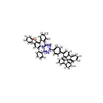 c1ccc(-c2nc(-c3ccc(-c4ccc5c(c4)C4(c6ccccc6-c6ccccc64)c4ccccc4-5)cc3)nc(-c3ccccc3-c3cccc4c3oc3ccccc34)n2)cc1